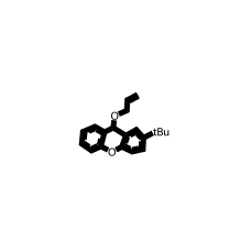 C=CCOC1c2ccccc2Oc2ccc(C(C)(C)C)cc21